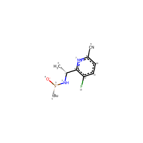 C[C@@H](N[S@@+]([O-])C(C)(C)C)c1nc(C#N)ccc1F